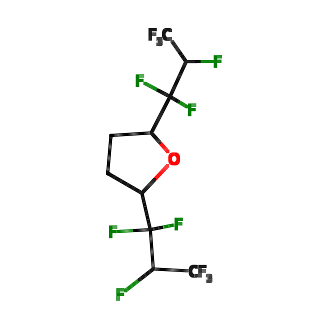 FC(C(F)(F)F)C(F)(F)C1CCC(C(F)(F)C(F)C(F)(F)F)O1